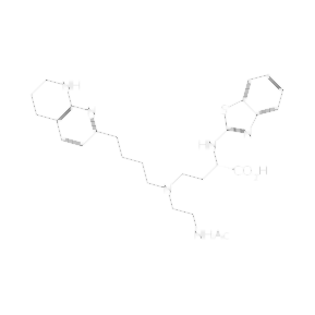 CC(=O)NCCN(CCCCc1ccc2c(n1)NCCC2)CC[C@H](Nc1nc2ccccc2s1)C(=O)O